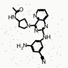 CC(=O)NC1CCN(c2nc(Nc3cc(N)cc(C#N)c3)nc3cccnc23)C1